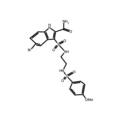 COc1ccc(S(=O)(=O)NCCNS(=O)(=O)c2c(C(N)=O)[nH]c3ccc(Br)cc23)cc1